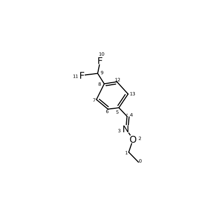 CCO/N=[C]/c1ccc(C(F)F)cc1